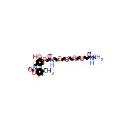 Cc1ccc2oc(=O)n(Cc3ccc(OCC(=O)NCCOCCOCCOCCOCCC(=O)NN)c(O)c3)c2c1